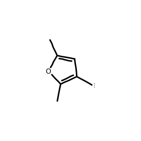 [C]c1cc(C)oc1C